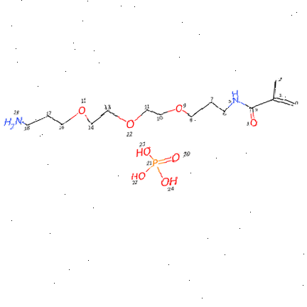 C=C(C)C(=O)NCCCOCCOCCOCCCN.O=P(O)(O)O